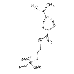 C=C(C)c1ccc(C(=O)NCCC[Si](OC)(OC)OC)cc1